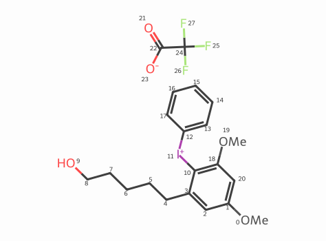 COc1cc(CCCCCO)c([I+]c2ccccc2)c(OC)c1.O=C([O-])C(F)(F)F